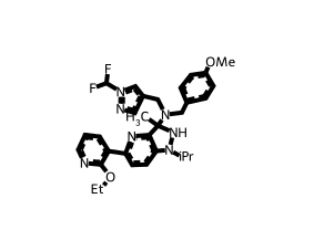 CCOc1ncccc1-c1ccc2c(n1)C(C)(N(Cc1ccc(OC)cc1)Cc1cnn(C(F)F)c1)NN2C(C)C